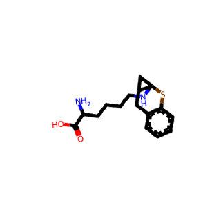 NC(CCCCNC12CC1Cc1ccccc1S2)C(=O)O